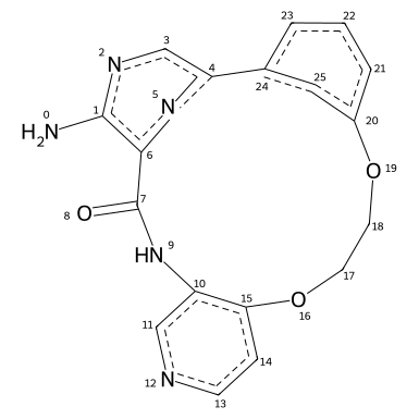 Nc1ncc2nc1C(=O)Nc1cnccc1OCCOc1cccc-2c1